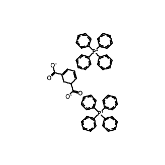 O=C([O-])C1=CC=CC(C(=O)[O-])C1.c1ccc([P+](c2ccccc2)(c2ccccc2)c2ccccc2)cc1.c1ccc([P+](c2ccccc2)(c2ccccc2)c2ccccc2)cc1